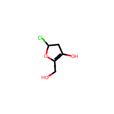 OCC1=C(O)CC(Cl)O1